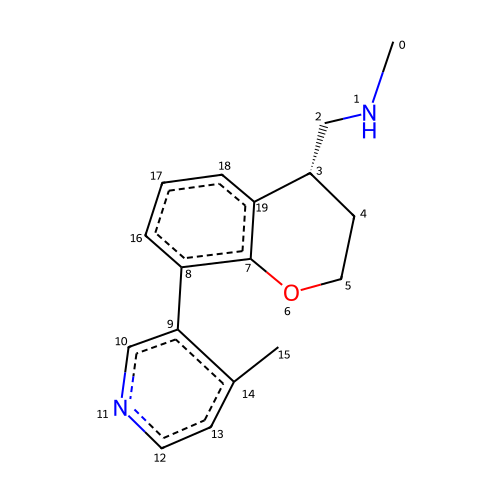 CNC[C@@H]1CCOc2c(-c3cnccc3C)cccc21